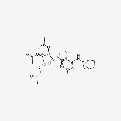 CC(=O)OC[C@H]1O[C@@H](n2cnc3c(NC4CC5CCC4C5)nc(I)nc32)[C@H](OC(C)=O)[C@@H]1OC(C)=O